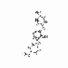 [2H]c1cnc(Sc2ccnc(NC3CCC(CO)CC3)c2Cl)cn1